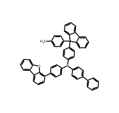 Cc1ccc(C2(c3ccc(N(c4ccc(-c5ccccc5)cc4)c4ccc(-c5cccc6c5oc5ccccc56)cc4)cc3)c3ccccc3-c3ccccc32)cc1